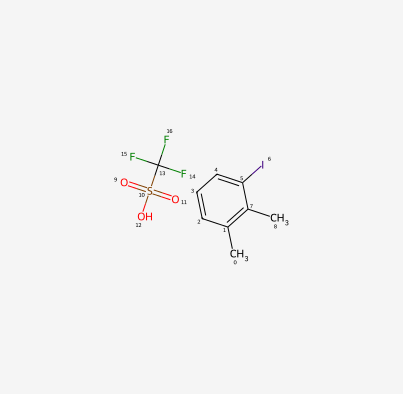 Cc1cccc(I)c1C.O=S(=O)(O)C(F)(F)F